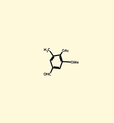 COc1cc(C=O)cc(C)c1OC(C)=O